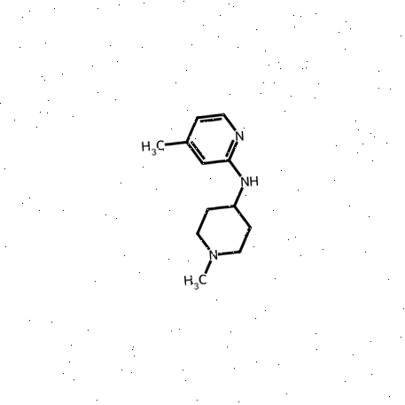 Cc1ccnc(NC2CCN(C)CC2)c1